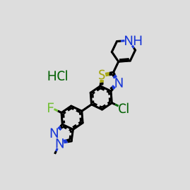 Cl.Cn1cc2cc(-c3cc(Cl)c4nc(C5=CCNCC5)sc4c3)cc(F)c2n1